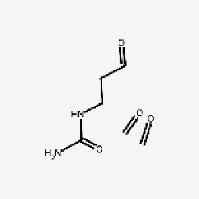 C=O.C=O.NC(=O)NCCC=O